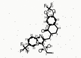 CCS(=O)(=O)c1c(CC2CCc3cc4c(cc3C2=O)OC(F)(F)O4)nc2ccc(C(F)(F)F)cn12